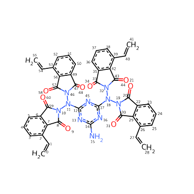 C=Cc1cccc2c1C(=O)N(N(c1nc(N)nc(N(N3C(=O)c4cccc(C=C)c4C3=O)N3C(=O)c4cccc(C=C)c4C3=O)n1)N1C(=O)c3cccc(C=C)c3C1=O)C2=O